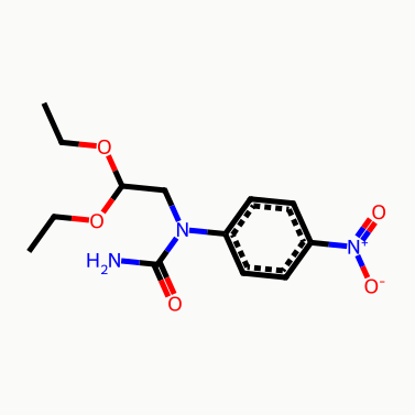 CCOC(CN(C(N)=O)c1ccc([N+](=O)[O-])cc1)OCC